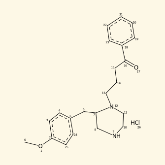 COc1ccc(CC2CNCCN2CCCC(=O)c2ccccc2)cc1.Cl